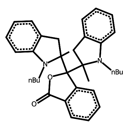 CCCCN1c2ccccc2CC1(C)C1(C2(C)Cc3ccccc3N2CCCC)OC(=O)c2ccccc21